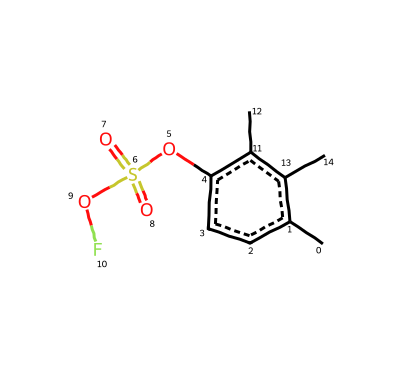 Cc1ccc(OS(=O)(=O)OF)c(C)c1C